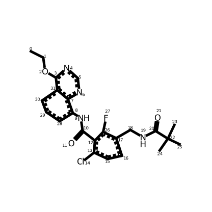 CCOc1ncnc2c(NC(=O)c3c(Cl)ccc(CNC(=O)C(C)(C)C)c3F)cccc12